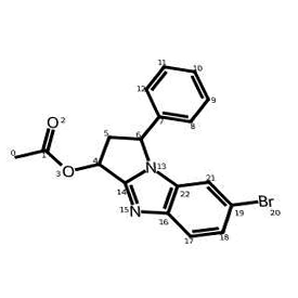 CC(=O)OC1CC(c2ccccc2)n2c1nc1ccc(Br)cc12